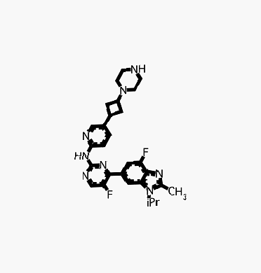 Cc1nc2c(F)cc(-c3nc(Nc4ccc(C5CC(N6CCNCC6)C5)cn4)ncc3F)cc2n1C(C)C